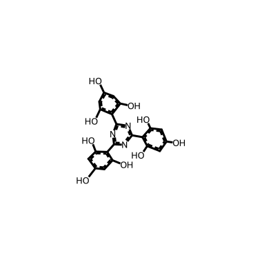 Oc1cc(O)c(-c2nc(-c3c(O)cc(O)cc3O)nc(-c3c(O)cc(O)cc3O)n2)c(O)c1